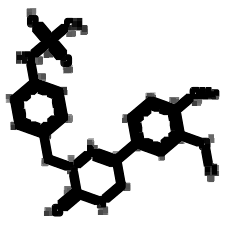 CCOc1cc(C2=NN(Cc3ccc(NS(C)(=O)=O)cc3)C(=O)SC2)ccc1OC